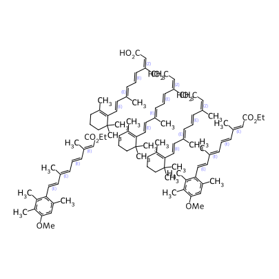 CC1=C(/C=C/C(C)=C/C=C/C(C)=C\C(=O)O)C(C)(C)CCC1.CC1=C(/C=C/C(C)=C/C=C/C(C)=C\C(=O)O)C(C)(C)CCC1.CC1=C(/C=C/C(C)=C/C=C/C(C)=C\C(=O)O)C(C)(C)CCC1.CCOC(=O)/C=C(C)/C=C/C=C(C)/C=C/c1c(C)cc(OC)c(C)c1C.CCOC(=O)/C=C(C)/C=C/C=C(C)/C=C/c1c(C)cc(OC)c(C)c1C